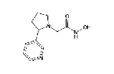 O=C(CN1CCCC1c1cccnc1)NO